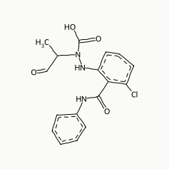 CC(C=O)N(Nc1cccc(Cl)c1C(=O)Nc1ccccc1)C(=O)O